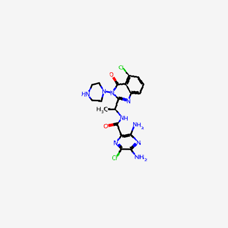 CC(NC(=O)c1nc(Cl)c(N)nc1N)c1nc2cccc(Cl)c2c(=O)n1N1CCNCC1